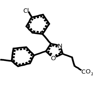 O=C(O)CCc1nc(-c2ccc(Cl)cc2)c(-c2ccc(Cl)cc2)o1